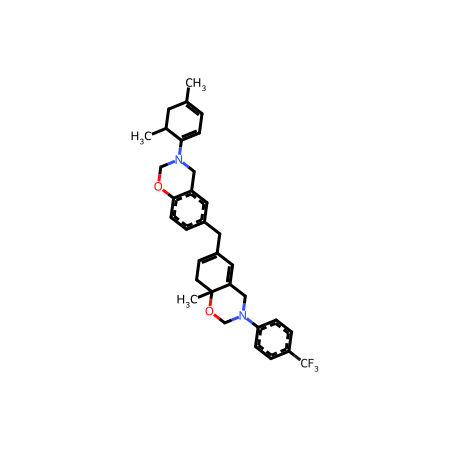 CC1=CC=C(N2COc3ccc(CC4=CCC5(C)OCN(c6ccc(C(F)(F)F)cc6)CC5=C4)cc3C2)C(C)C1